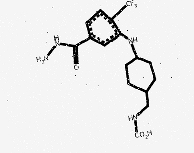 NNC(=O)c1ccc(C(F)(F)F)c(NC2CCC(CNC(=O)O)CC2)c1